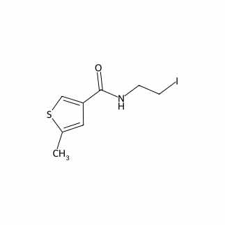 Cc1cc(C(=O)NCCI)cs1